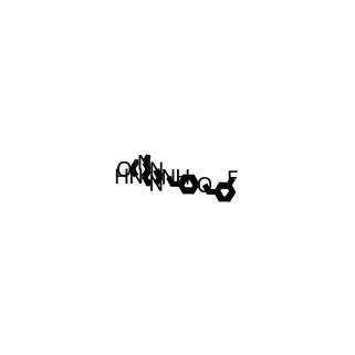 CN1CC(=O)Nc2cnc(NCc3ccc(OCc4cccc(F)c4)cc3)nc21